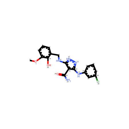 COc1cccc(CNc2[nH]nc(Nc3cccc(Cl)c3)c2C(N)=O)c1O